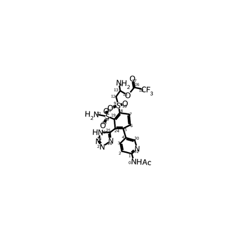 CC(=O)Nc1ccc(-c2ccc(S(=O)(=O)CC(N)OC(=O)C(F)(F)F)c(S(N)(=O)=O)c2-c2nnn[nH]2)cn1